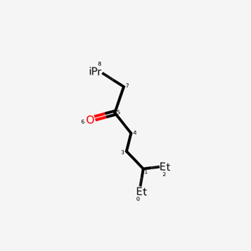 CCC(CC)CCC(=O)CC(C)C